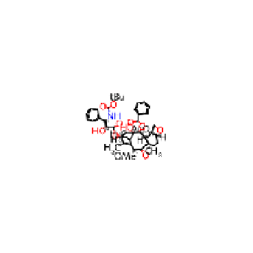 CO[C@H]1C(=O)[C@]2(C)CC[C@H]3OC[C@@]3(OC(C)=O)[C@H]2[C@H](OC(=O)c2ccccc2)[C@]2(O)C[C@H](OC(=O)[C@H](O)[C@@H](NC(=O)OC(C)(C)C)c3ccccc3)C(C)=C1C2(C)C